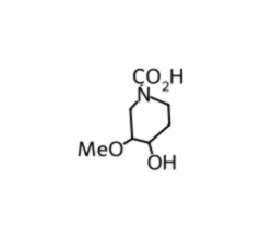 COC1CN(C(=O)O)CCC1O